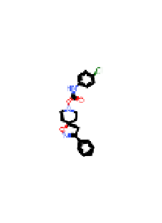 O=C(Nc1ccc(Cl)cc1)ON1CCC2(CC1)CC(c1ccccc1)=NO2